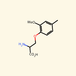 COc1cc(C)ccc1OCC(N)C(=O)O